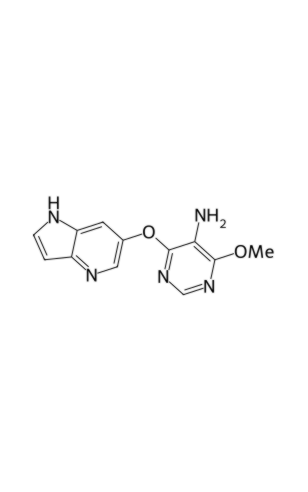 COc1ncnc(Oc2cnc3cc[nH]c3c2)c1N